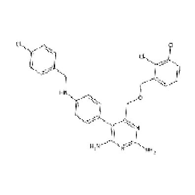 Nc1nc(N)c(-c2ccc(NCc3ccc(Cl)cc3)cc2)c(COCc2cccc(Cl)c2Cl)n1